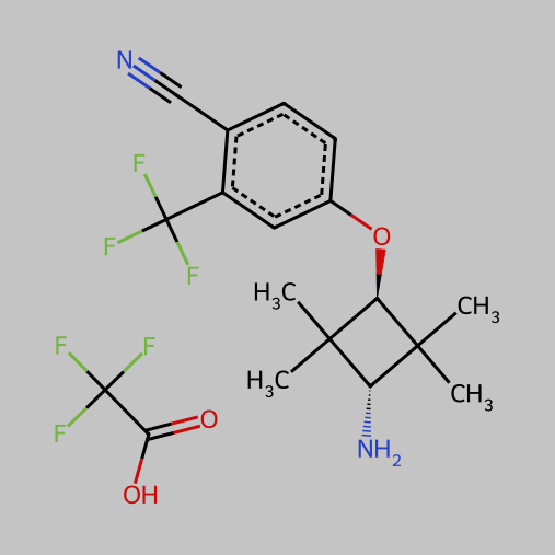 CC1(C)[C@H](N)C(C)(C)[C@H]1Oc1ccc(C#N)c(C(F)(F)F)c1.O=C(O)C(F)(F)F